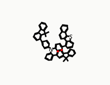 CC1(C)c2ccccc2-c2ccc(-c3ccccc3N(c3ccc(-c4cccc5c4C(C)(C)c4ccccc4-5)cc3)c3ccc(-c4cccc5sc6c7ccccc7ccc6c45)cc3)cc21